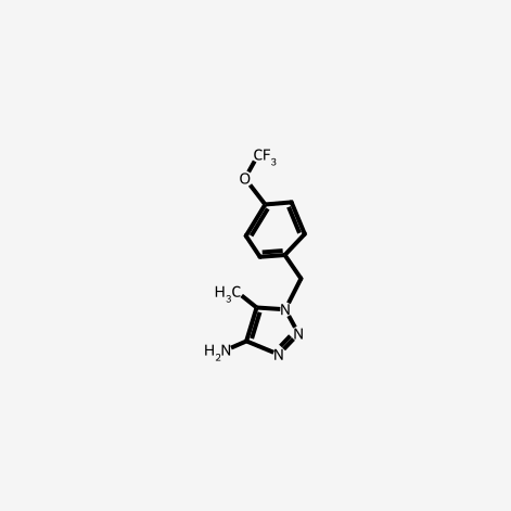 Cc1c(N)nnn1Cc1ccc(OC(F)(F)F)cc1